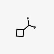 FC(F)C1CCC1